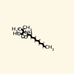 CCCCCCCCCC(=O)N[C@H](C(=O)O)C(C)C